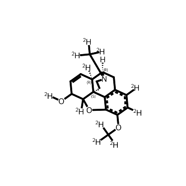 [2H]OC1C=C[C@@]2([2H])[C@H]3Cc4c([2H])c([2H])c(OC([2H])([2H])[2H])c5c4[C@@]2(CCN3C([2H])([2H])[2H])C1([2H])O5